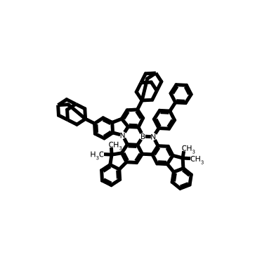 CC1(C)c2ccccc2-c2cc3c(cc21)N(c1ccc(-c2ccccc2)cc1)B1c2c-3cc3c(c2-n2c4ccc(C56CC7CC(CC(C7)C5)C6)cc4c4cc(C56CC7CC(CC(C7)C5)C6)cc1c42)C(C)(C)c1ccccc1-3